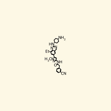 CCc1cc(-c2cc(NC(=O)Cc3cccc(C#N)c3)nn2C)cc2cnc(N[C@H]3CC[C@H](N)CC3)nc12